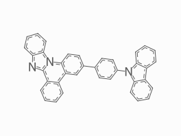 c1ccc2c(c1)nc1c3ccccc3c3cc(-c4ccc(-n5c6ccccc6c6ccccc65)cc4)ccc3n21